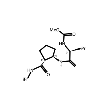 C=C(N[C@@H]1CCC[C@H]1C(=O)NC(C)C)[C@@H](NC(=O)OC)C(C)C